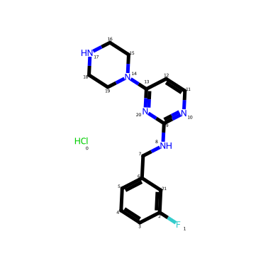 Cl.Fc1cccc(CNc2nccc(N3CCNCC3)n2)c1